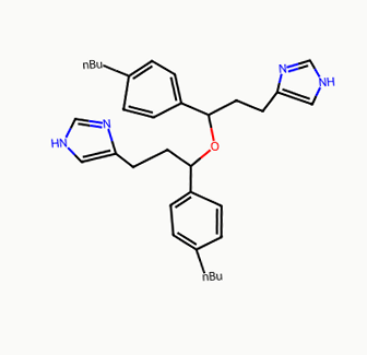 CCCCc1ccc(C(CCc2c[nH]cn2)OC(CCc2c[nH]cn2)c2ccc(CCCC)cc2)cc1